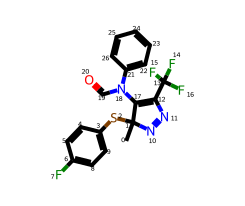 CC1(Sc2ccc(F)cc2)N=NC(C(F)(F)F)=C1N(C=O)c1ccccc1